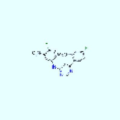 COc1cc(F)ccc1-c1cc(Nc2ccc(F)c([N+](=O)[O-])c2)ncn1